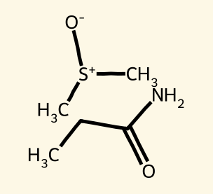 CCC(N)=O.C[S+](C)[O-]